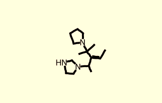 C/C=C(/C(C)N1CCNC1)C(C)(C)N1CCCC1